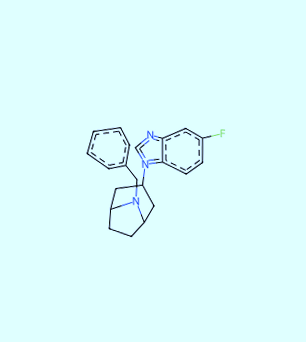 Fc1ccc2c(c1)ncn2C1CC2CCC(C1)N2Cc1ccccc1